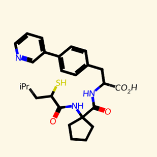 CC(C)CC(S)C(=O)NC1(C(=O)NC(Cc2ccc(-c3cccnc3)cc2)C(=O)O)CCCC1